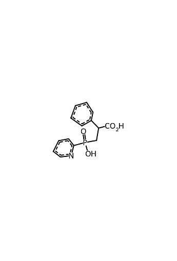 O=C(O)C(CP(=O)(O)c1ccccn1)c1ccccc1